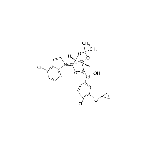 CC1(C)O[C@H]2[C@@H](O1)[C@H](n1ccc3c(Cl)ncnc31)O[C@@H]2[C@H](O)c1ccc(Cl)c(OC2CC2)c1